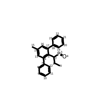 CCC(P=O)c1c(-c2ccccc2)cc(C)cc1-c1ccccc1